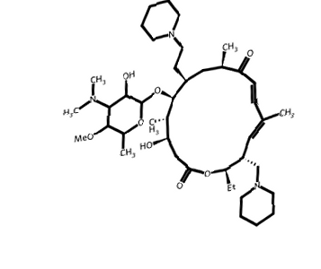 CC[C@H]1OC(=O)C[C@@H](O)[C@H](C)[C@@H](OC2OC(C)C(OC)C(N(C)C)C2O)[C@@H](CCN2CCCCC2)C[C@@H](C)C(=O)/C=C/C(C)=C/[C@@H]1CN1CCCCC1